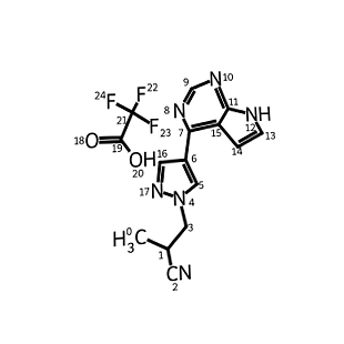 CC(C#N)Cn1cc(-c2ncnc3[nH]ccc23)cn1.O=C(O)C(F)(F)F